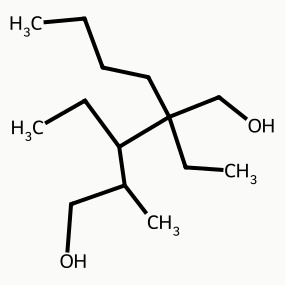 CCCCC(CC)(CO)C(CC)C(C)CO